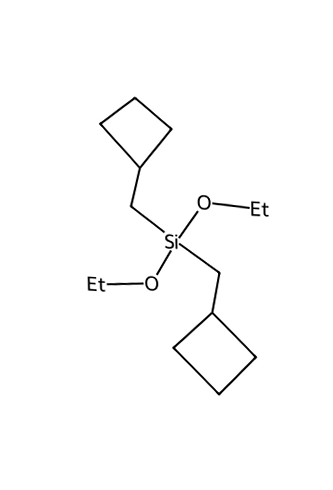 CCO[Si](CC1CCC1)(CC1CCC1)OCC